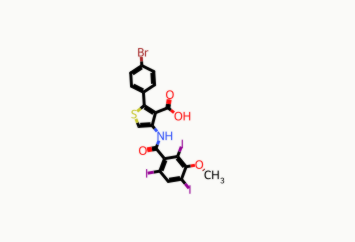 COc1c(I)cc(I)c(C(=O)Nc2csc(-c3ccc(Br)cc3)c2C(=O)O)c1I